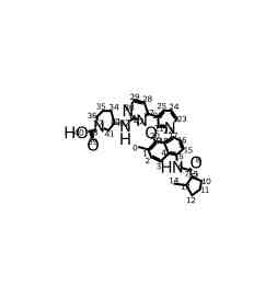 Cc1ccc2c(NC(=O)[C@H]3CCCC3C)cccc2c1Oc1ncccc1-c1ccnc(N[C@H]2CCCN(C(=O)O)C2)n1